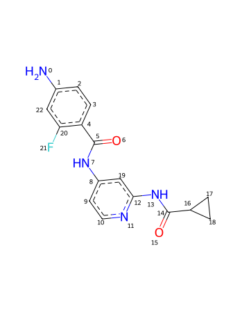 Nc1ccc(C(=O)Nc2ccnc(NC(=O)C3CC3)c2)c(F)c1